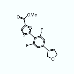 COC(=O)c1csc(-c2c(F)cc(C3=CCOC3)cc2F)n1